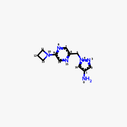 Nc1cnn(Cc2cnc(N3CCC3)cn2)c1